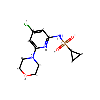 O=S(=O)(Nc1cc(Cl)cc(N2CCOCC2)n1)C1CC1